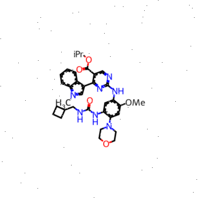 COc1cc(N2CCOCC2)c(NC(=O)NCC2CCC2)cc1Nc1ncc(C(=O)OC(C)C)c(-c2cn(C)c3ccccc23)n1